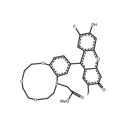 COC(=O)CN1CCOCCOCCOc2ccc(-c3c4cc(F)c(=O)cc-4oc4cc(O)c(F)cc34)cc21